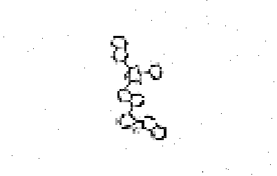 c1ccc(-c2nc(-c3ccc4ccccc4c3)nc(-c3cccc4c(-c5cncc6oc7c8ccccc8ccc7c56)cccc34)n2)cc1